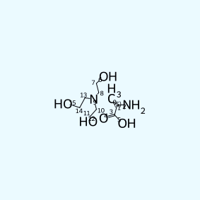 C[C@H](N)C(=O)O.OCCN(CCO)CCO